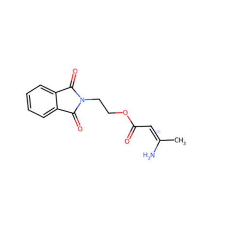 C/C(N)=C/C(=O)OCCN1C(=O)c2ccccc2C1=O